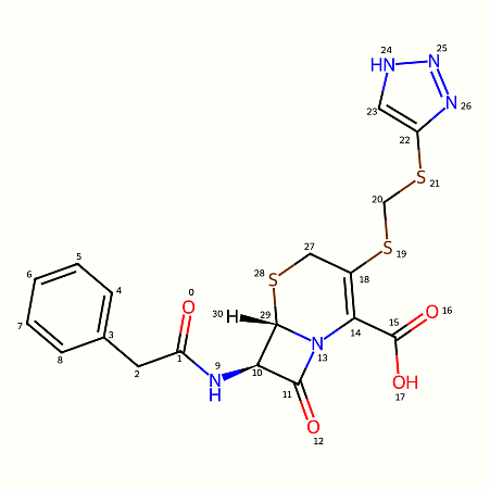 O=C(Cc1ccccc1)N[C@@H]1C(=O)N2C(C(=O)O)=C(SCSc3c[nH]nn3)CS[C@@H]12